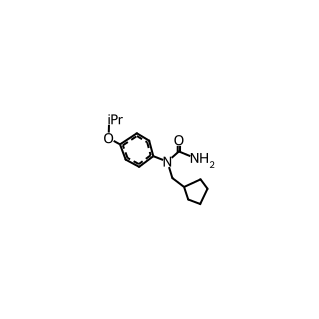 CC(C)Oc1ccc(N(CC2CCCC2)C(N)=O)cc1